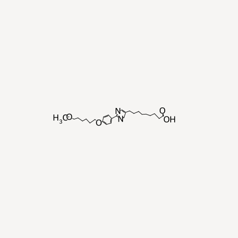 COCCCCCCOc1ccc(-c2ncc(CCCCCCCCC(=O)O)cn2)cc1